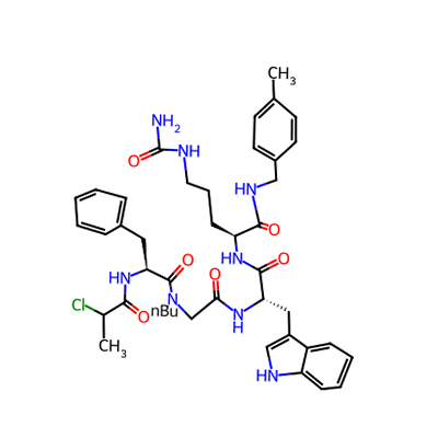 CCCCN(CC(=O)N[C@@H](Cc1c[nH]c2ccccc12)C(=O)N[C@@H](CCCNC(N)=O)C(=O)NCc1ccc(C)cc1)C(=O)[C@H](Cc1ccccc1)NC(=O)C(C)Cl